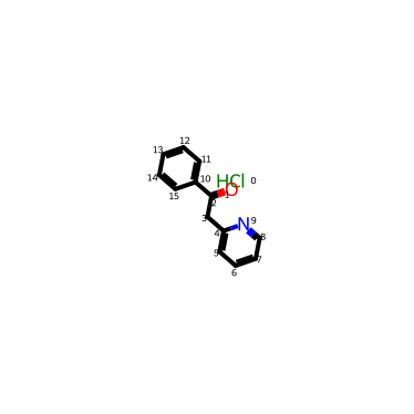 Cl.O=C(Cc1ccccn1)c1ccccc1